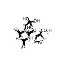 O=C(O)C1=CSSS1.O=c1[nH]c(=O)n(CC(O)(O)O)c(=O)[nH]1